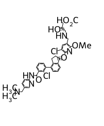 COc1nc(O[C@H]2CCc3c(-c4cccc(C(=O)Nc5ccc(CN(C)C)cn5)c4Cl)cccc32)c(Cl)cc1CNC[C@@H](O)CC(=O)O